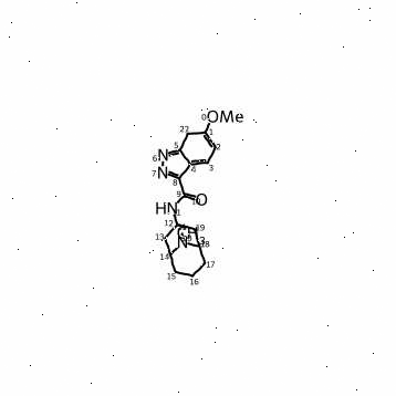 COC1=CC=C2C(=NN=C2C(=O)NC2CC3CCCC(C2)N3C)C1